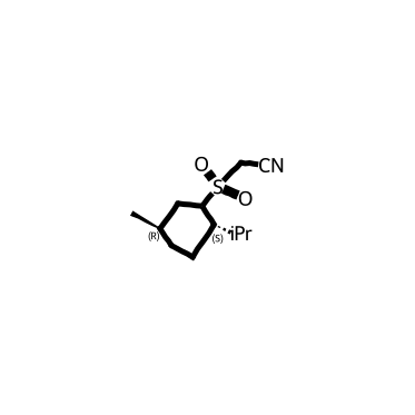 CC(C)[C@@H]1CC[C@@H](C)CC1S(=O)(=O)CC#N